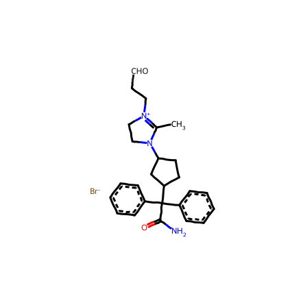 CC1=[N+](CCC=O)CCN1C1CCC(C(C(N)=O)(c2ccccc2)c2ccccc2)C1.[Br-]